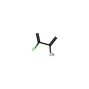 C=C(Cl)C(=C)C#N